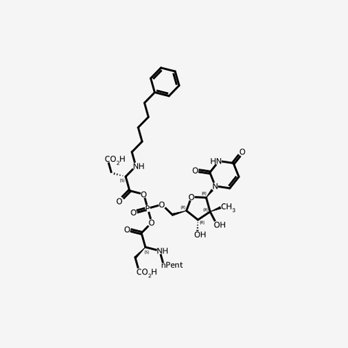 CCCCCN[C@@H](CC(=O)O)C(=O)OP(=O)(OC[C@H]1O[C@@H](n2ccc(=O)[nH]c2=O)[C@](C)(O)[C@@H]1O)OC(=O)[C@H](CC(=O)O)NCCCCCc1ccccc1